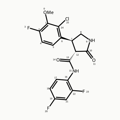 COc1c(F)ccc([C@H]2CNC(=O)[C@@H]2C(=O)Nc2ccc(F)cc2F)c1Cl